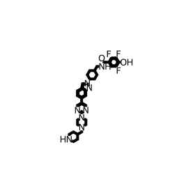 O=C(NCC1CCC(n2cc3ccc(-c4cnc(N5CCN(CC6CCNCC6)CC5)nc4)cc3n2)CC1)c1cc(F)c(O)c(F)c1F